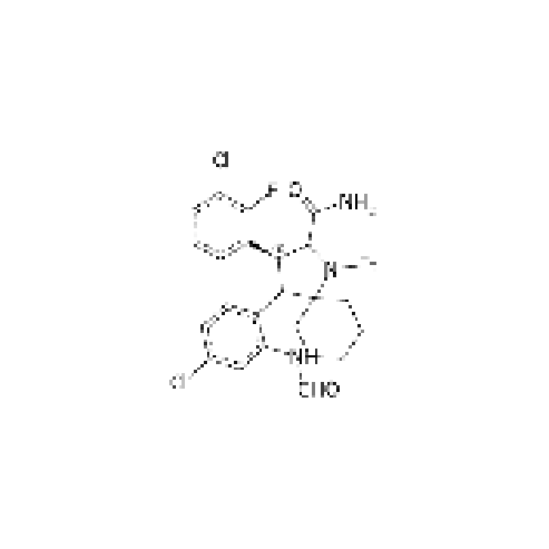 CCN1C(C(N)=O)[C@H](c2cccc(Cl)c2F)C(c2ccc(Cl)cc2NC=O)C12CCCCC2